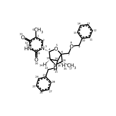 Cc1cn([C@@H]2OC3(COCc4ccccc4)[C@H](C)N[C@@H]2[C@@H]3OCc2ccccc2)c(=O)[nH]c1=O